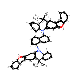 CC1(C)c2ccccc2N(c2cccc3c(N4c5ccccc5C(C)(C)c5cc6c(cc54)oc4ccccc46)cccc23)c2cc3oc4ccccc4c3cc21